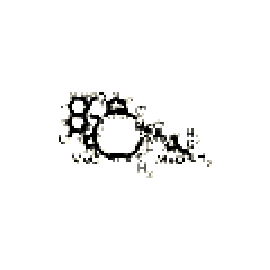 CO[C@H]1/C=C/C[C@H](C)C[S@@](=O)(NC(=O)N2CC(C(C)(C)OC)C2)=NC(=O)c2ccc3c(c2)N(C[C@@H]2CC[C@H]21)C[C@@]1(CCCc2cc(Cl)ccc21)CO3